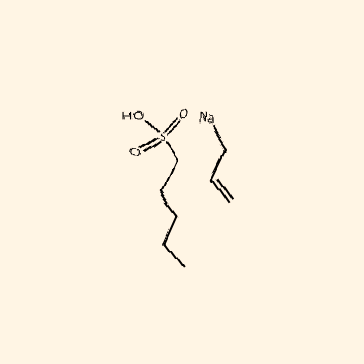 C=C[CH2][Na].CCCCCS(=O)(=O)O